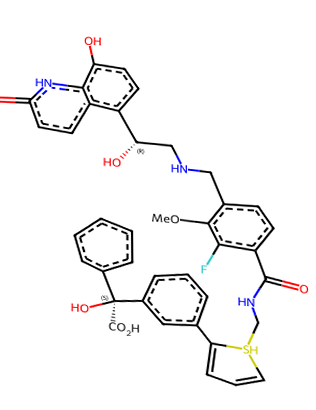 COc1c(CNC[C@H](O)c2ccc(O)c3[nH]c(=O)ccc23)ccc(C(=O)NC[SH]2C=CC=C2c2cccc([C@](O)(C(=O)O)c3ccccc3)c2)c1F